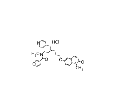 CN(CCN(CCCOc1ccc2c(ccc(=O)n2C)c1)Cc1ccncc1)C(=O)c1ccoc1.Cl